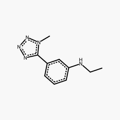 CCNc1cccc(-c2nnnn2C)c1